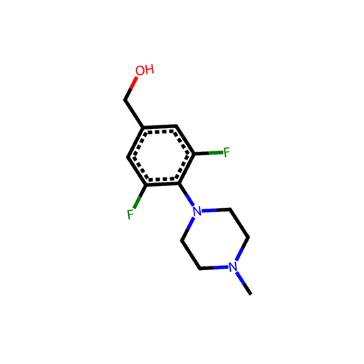 CN1CCN(c2c(F)cc(CO)cc2F)CC1